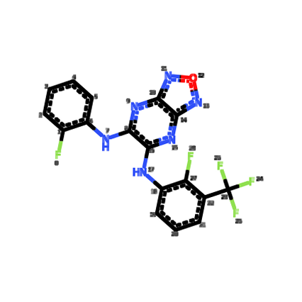 Fc1ccccc1Nc1nc2nonc2nc1Nc1cccc(C(F)(F)F)c1F